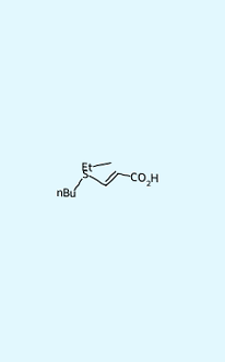 CCC.CCCCSC=CC(=O)O